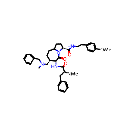 CNC(Cc1ccccc1)C(=O)N[C@@H]1C(=O)N2C(CC[C@@H]1CN(C)Cc1ccccc1)CC[C@H]2C(=O)NCCc1ccc(OC)cc1